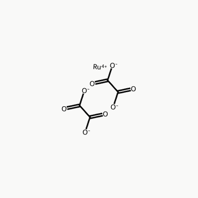 O=C([O-])C(=O)[O-].O=C([O-])C(=O)[O-].[Ru+4]